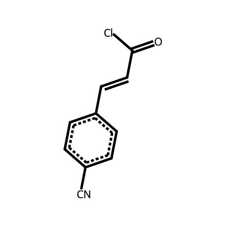 N#Cc1ccc(C=CC(=O)Cl)cc1